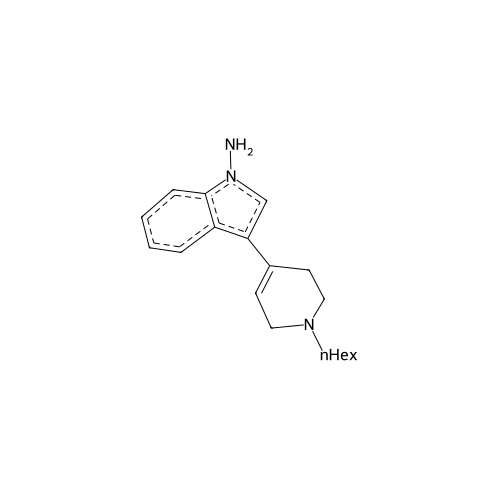 CCCCCCN1CC=C(c2cn(N)c3ccccc23)CC1